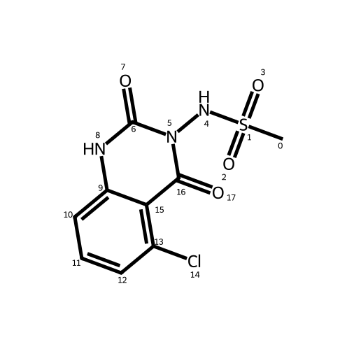 CS(=O)(=O)Nn1c(=O)[nH]c2cccc(Cl)c2c1=O